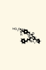 N=C(NC(=O)O)c1ccc(CNC(=O)[C@@H]2CC(n3cccn3)CN2C(=O)[C@H](N)CCc2ccccc2)cc1